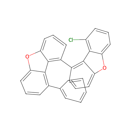 Clc1cccc2oc3cccc(-c4cccc5oc6cccc(-c7ccccc7)c6c45)c3c12